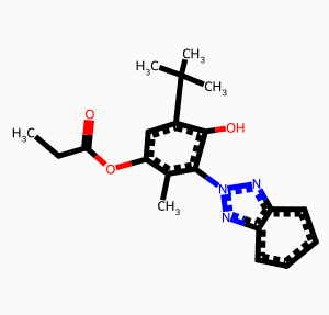 CCC(=O)Oc1cc(C(C)(C)C)c(O)c(-n2nc3ccccc3n2)c1C